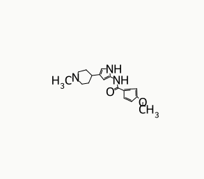 COc1ccc(C(=O)Nc2cc(C3CCN(C)CC3)c[nH]2)cc1